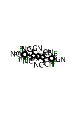 N#CC(C#N)=C1C(c2cc(F)c(C#N)c(F)c2F)=C(C#N)c2cc3c(cc21)C(C#N)=C(c1cc(F)c(C#N)c(F)c1F)C3=C(C#N)C#N